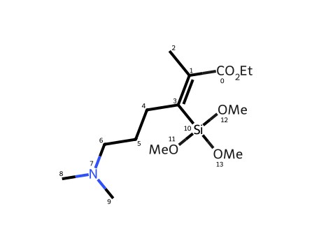 CCOC(=O)C(C)=C(CCCN(C)C)[Si](OC)(OC)OC